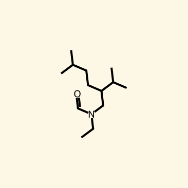 CCN(C=O)CC(CCC(C)C)C(C)C